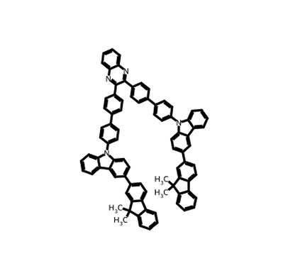 CC1(C)c2ccccc2-c2ccc(-c3ccc4c(c3)c3ccccc3n4-c3ccc(-c4ccc(-c5nc6ccccc6nc5-c5ccc(-c6ccc(-n7c8ccccc8c8cc(-c9ccc%10c(c9)C(C)(C)c9ccccc9-%10)ccc87)cc6)cc5)cc4)cc3)cc21